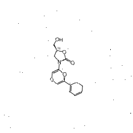 O=C1O[C@H](CO)CN1C1=COC=C(C2=CC=CCC2)O1